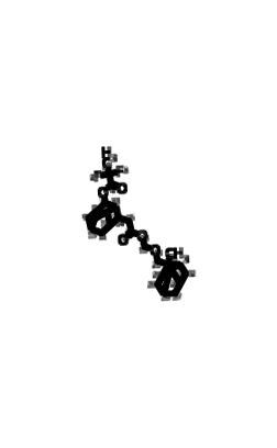 CC(F)(F)C(=O)OC1C2CC3CC(C2)C(CC(=O)OCOCC2(C)C4CC5CC(C4)CC2C5)C1C3